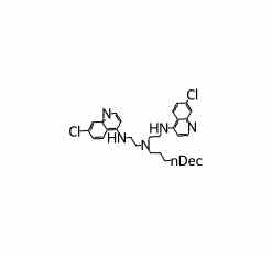 CCCCCCCCCCCCCN(CCNc1ccnc2cc(Cl)ccc12)CCNc1ccnc2cc(Cl)ccc12